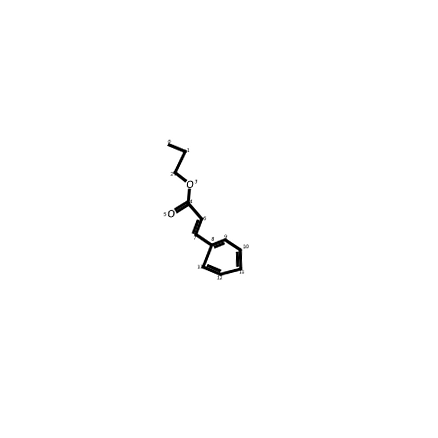 CC[CH]OC(=O)/C=C/c1ccccc1